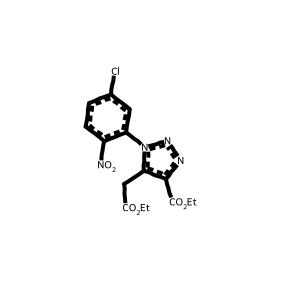 CCOC(=O)Cc1c(C(=O)OCC)nnn1-c1cc(Cl)ccc1[N+](=O)[O-]